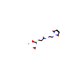 CC(C)(C)OC(=O)N[C@H](CCC(=O)NCCN1C(=O)C=CC1=O)C(=O)OC(C)(C)C